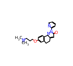 CN(C)CCCOc1ccc2c(c1)CCc1cc(=O)n(-c3ccccn3)nc1-2